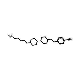 CCCCCC[C@H]1CC[C@H](C2CCC(CCc3ccc(C#N)cc3)CC2)CC1